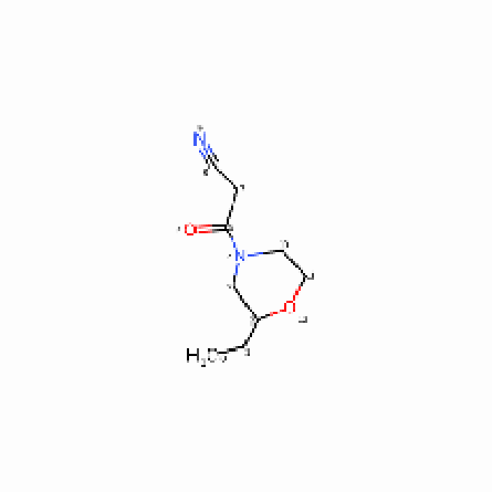 CCC1CN(C(=O)CC#N)CCO1